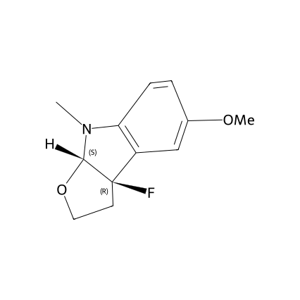 COc1ccc2c(c1)[C@]1(F)CCO[C@@H]1N2C